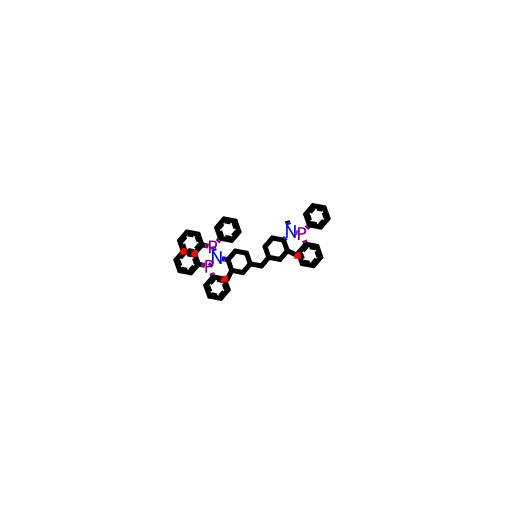 CC1CC(CC2CCC(N(P(c3ccccc3)c3ccccc3)P(c3ccccc3)c3ccccc3)C(C)C2)CCC1N(C)P(c1ccccc1)c1ccccc1